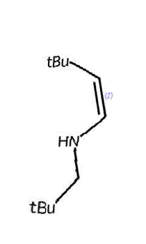 CC(C)(C)/C=C\NCC(C)(C)C